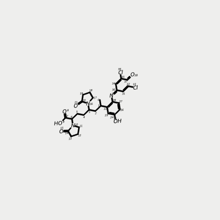 CC(CC(CCC(C(=O)O)N1CCCC1=O)N1CCCC1=O)c1cc(O)ccc1/N=C(\C=C\Cl)/C=C(/Cl)C=O